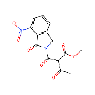 COC(=O)C(C(C)=O)C(=O)N1Cc2cccc([N+](=O)[O-])c2C1=O